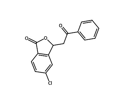 O=C(CC1OC(=O)c2ccc(Cl)cc21)c1ccccc1